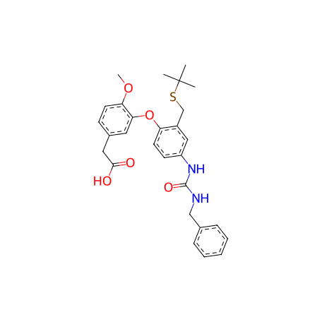 COc1ccc(CC(=O)O)cc1Oc1ccc(NC(=O)NCc2ccccc2)cc1CSC(C)(C)C